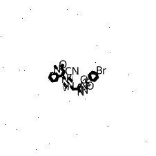 C[C@H]1CN(c2c(C#N)c(=O)n(C)c3ccccc23)[C@@H](C)CN1Cc1cn(S(=O)(=O)c2ccc(Br)cc2)nn1